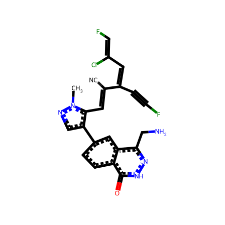 Cn1ncc(-c2ccc3c(=O)[nH]nc(CN)c3c2)c1/C=C(C#N)/C(C#CF)=C\C(Cl)=C\F